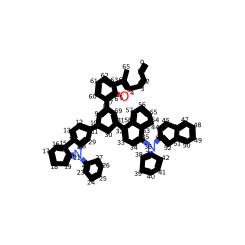 C=C/C=C\c1oc2c(-c3cc(-c4ccc5c6ccccc6n(-c6ccccc6)c5c4)cc(-c4ccc(N(c5ccccc5)c5ccc6ccccc6c5)c5ccccc45)c3)cccc2c1C